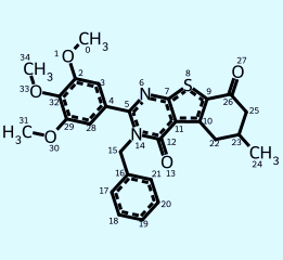 COc1cc(-c2nc3sc4c(c3c(=O)n2Cc2ccccc2)CC(C)CC4=O)cc(OC)c1OC